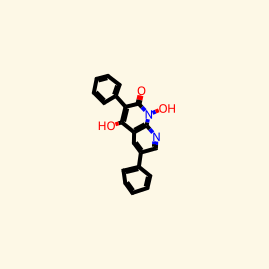 O=c1c(-c2ccccc2)c(O)c2cc(-c3ccccc3)cnc2n1O